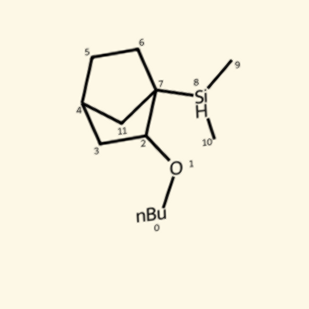 CCCCOC1CC2CCC1([SiH](C)C)C2